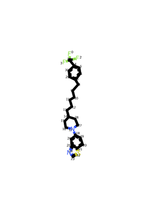 FC(F)(F)c1ccc(CCCCCCC2CCN(c3ccc4s[c]nc4c3)CC2)cc1